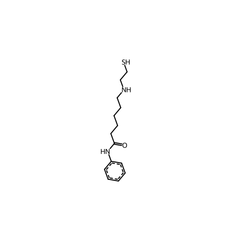 O=C(CCCCCNCCS)Nc1ccccc1